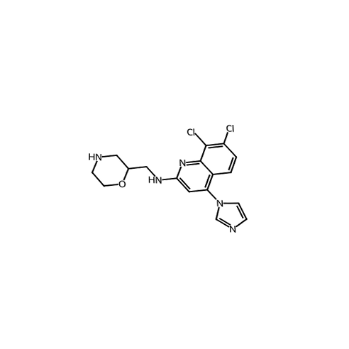 Clc1ccc2c(-n3ccnc3)cc(NCC3CNCCO3)nc2c1Cl